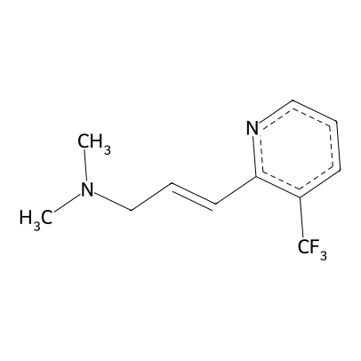 CN(C)CC=Cc1ncccc1C(F)(F)F